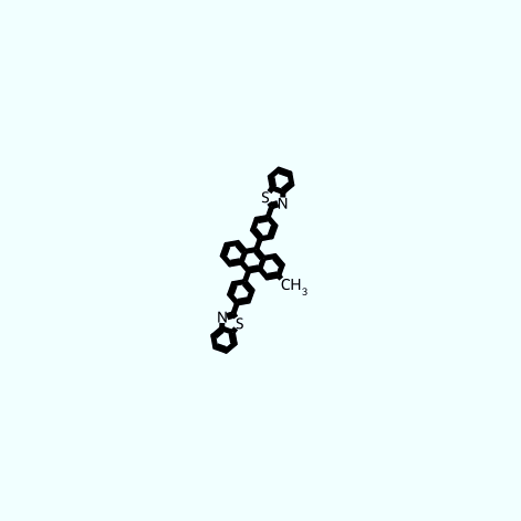 Cc1ccc2c(-c3ccc(-c4nc5ccccc5s4)cc3)c3ccccc3c(-c3ccc(-c4nc5ccccc5s4)cc3)c2c1